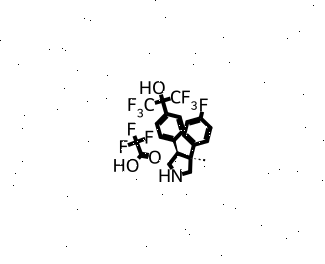 C[C@]1(c2ccc(F)cc2)CNC[C@H]1c1ccc(C(O)(C(F)(F)F)C(F)(F)F)cc1.O=C(O)C(F)(F)F